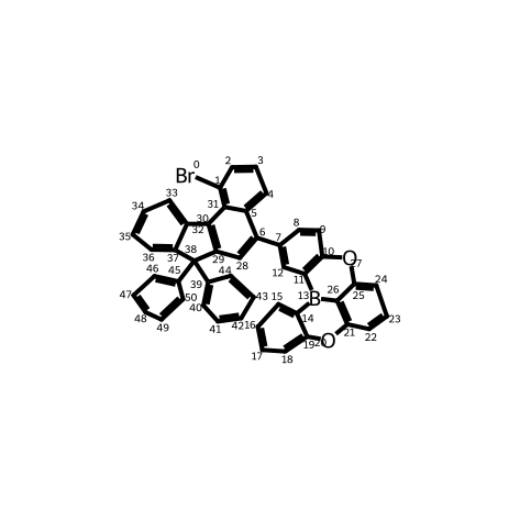 Brc1cccc2c(-c3ccc4c(c3)B3c5ccccc5Oc5cccc(c53)O4)cc3c(c12)-c1ccccc1C3(c1ccccc1)c1ccccc1